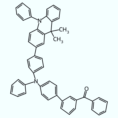 CC1(C)c2ccccc2N(c2ccccc2)c2ccc(-c3ccc(N(c4ccccc4)c4ccc(-c5cccc(C(=O)c6ccccc6)c5)cc4)cc3)cc21